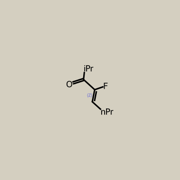 CCC/C=C(\F)C(=O)C(C)C